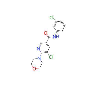 O=C(Nc1cccc(Cl)c1)c1cnc(N2CCOCC2)c(Cl)c1